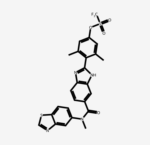 Cc1cc(OS(=O)(=O)C(F)(F)F)cc(C)c1-c1nc2ccc(C(=O)N(C)c3ccc4scnc4c3)cc2[nH]1